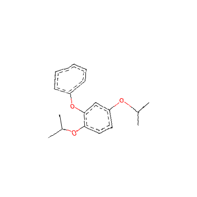 CC(C)Oc1ccc(OC(C)C)c(Oc2ccccc2)c1